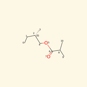 CC[C@H](C)COC(=O)C(C)C